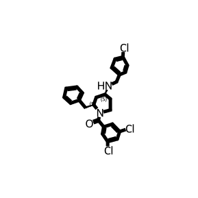 O=C(c1cc(Cl)cc(Cl)c1)N1CC[C@H](NCc2ccc(Cl)cc2)C[C@@H]1Cc1ccccc1